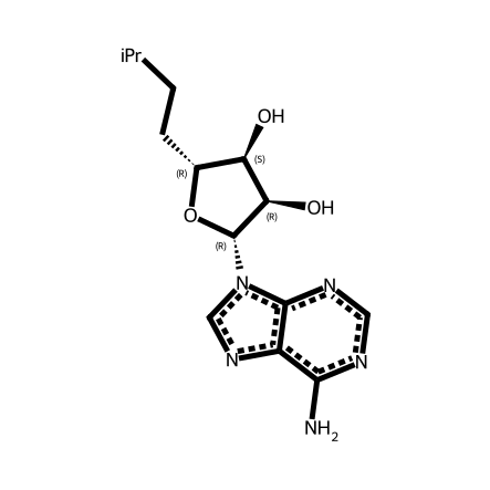 CC(C)CC[C@H]1O[C@@H](n2cnc3c(N)ncnc32)[C@H](O)[C@@H]1O